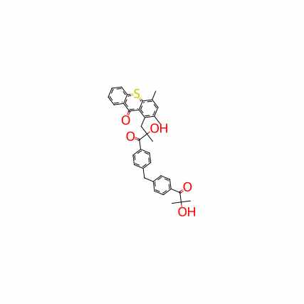 Cc1cc(C)c2sc3ccccc3c(=O)c2c1CC(C)(O)C(=O)c1ccc(Cc2ccc(C(=O)C(C)(C)O)cc2)cc1